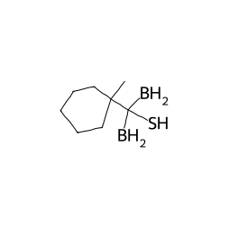 BC(B)(S)C1(C)CCCCC1